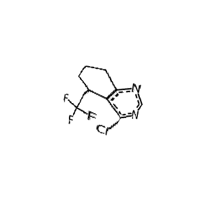 FC(F)(F)C1CCCc2ncnc(Cl)c21